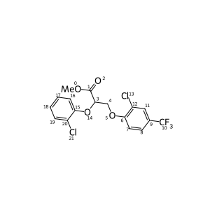 COC(=O)C(COc1ccc(C(F)(F)F)cc1Cl)Oc1ccccc1Cl